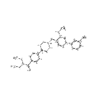 CCN(CC)C(=O)c1ccc(N2CCN(Cc3ccc(-c4cccc(O)c4)cc3OC)CC2)cc1